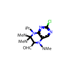 CNN1c2cnc(Cl)nc2N(C(C)C)C(NC)(NC)C1C=O